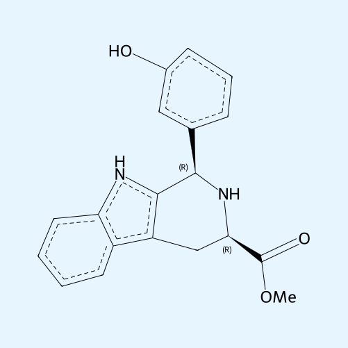 COC(=O)[C@H]1Cc2c([nH]c3ccccc23)[C@@H](c2cccc(O)c2)N1